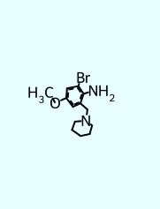 COc1cc(Br)c(N)c(CN2CCCCC2)c1